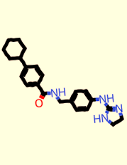 O=C(NCc1ccc(NC2=NCCN2)cc1)c1ccc(C2CCCCC2)cc1